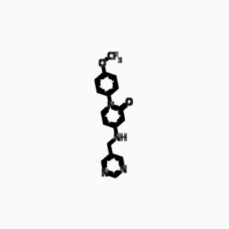 O=c1cc(NCc2cncnc2)ccn1-c1ccc(OC(F)(F)F)cc1